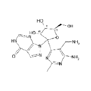 Cc1nc(N)c(CN)c(C2(n3ncc4c(=O)[nH]cnc43)O[C@H](CO)[C@@H](O)[C@H]2O)n1